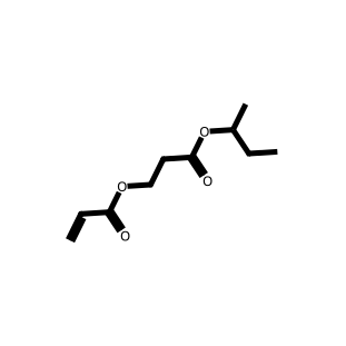 C=CC(=O)OCCC(=O)OC(C)CC